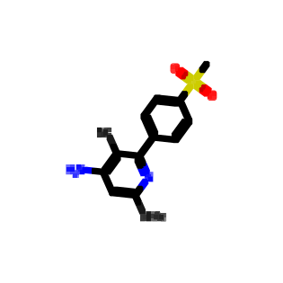 CC(=O)Nc1cc(N)c(C#N)c(-c2ccc(S(C)(=O)=O)cc2)n1